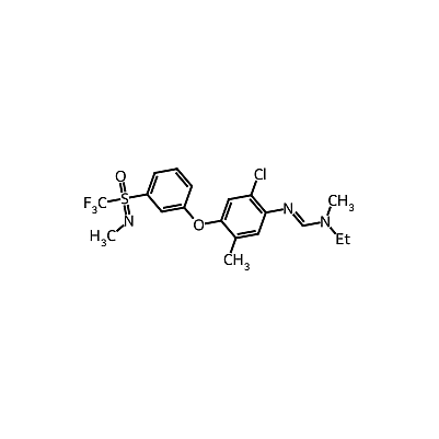 CCN(C)C=Nc1cc(C)c(Oc2cccc(S(=O)(=NC)C(F)(F)F)c2)cc1Cl